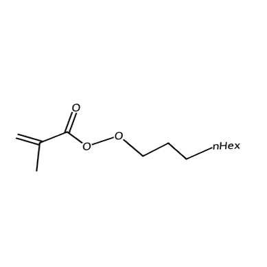 C=C(C)C(=O)OOCCCCCCCCC